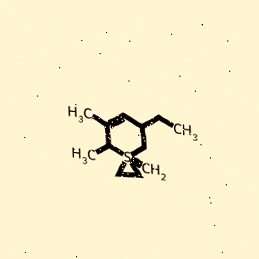 C=S12(CC1)CC(CC)C=C(C)C2C